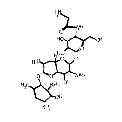 CNC1C(O[C@H]2OC(CO)[C@@H](NC(=O)CN)C(O)C2O)O[C@H]2CC(N)[C@@H](O[C@@H]3C(N)C[C@@H](N)C(O)C3N)OC2C1O